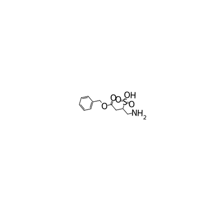 NCC(CC(=O)OCc1ccccc1)S(=O)(=O)O